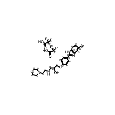 O=C(O)C(F)(F)F.O=C(O)C(F)(F)F.OC(CNCCN1CCOCC1)COc1ccc(-c2nc3cc(Br)cnc3[nH]2)cc1